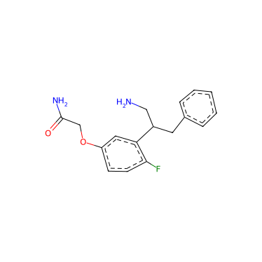 NCC(Cc1ccccc1)c1cc(OCC(N)=O)ccc1F